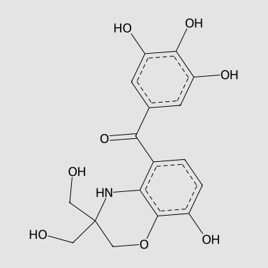 O=C(c1cc(O)c(O)c(O)c1)c1ccc(O)c2c1NC(CO)(CO)CO2